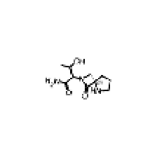 CC(O)C(C(N)=O)N1C[C@@]2(CCCN2)C1=O